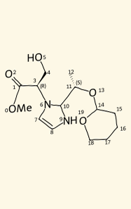 COC(=O)[C@@H](CO)N1C=CNC1[C@H](C)OC1CCCCO1